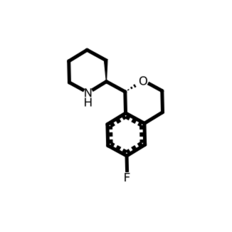 Fc1ccc2c(c1)CCO[C@H]2[C@@H]1CCCCN1